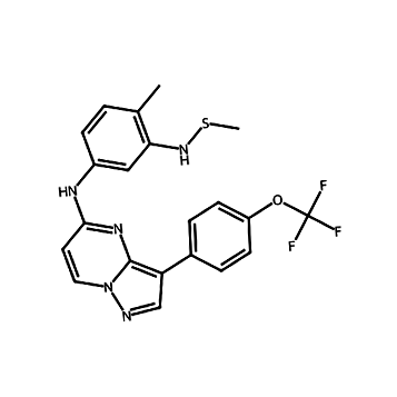 CSNc1cc(Nc2ccn3ncc(-c4ccc(OC(F)(F)F)cc4)c3n2)ccc1C